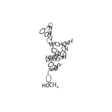 Cc1ccccc1[C@@H]1CCCN1C1CC2(CCN(c3ccc(C(=O)NS(=O)(=O)c4ccc(NCC5CCC(C)(O)CC5)c([N+](=O)[O-])c4)c(N4c5cc6cc[nH]c6nc5O[C@@H]5COC[C@H]54)c3)[C@@H](C)C2)C1